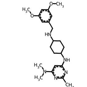 COc1cc(CNC2CCC(Nc3cc(N(C)C)nc(C)n3)CC2)cc(OC)c1